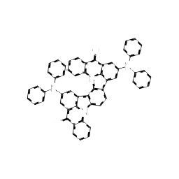 O=c1c2ccccc2n2c3ccc4c5cc(N(c6ccccc6)c6ccccc6)cc6c(=O)c7ccccc7n(c65)c4c3c3cc(N(c4ccccc4)c4ccccc4)cc1c32